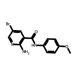 COc1ccc(NC(=O)c2cc(Br)cnc2N)cc1